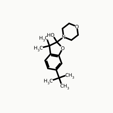 CC(C)(C)c1ccc2c(c1)OC(O)(N1CCOCC1)C2(C)C